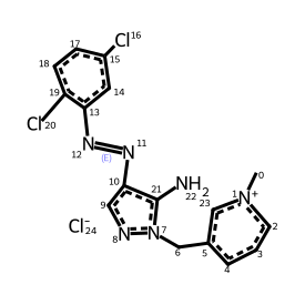 C[n+]1cccc(Cn2ncc(/N=N/c3cc(Cl)ccc3Cl)c2N)c1.[Cl-]